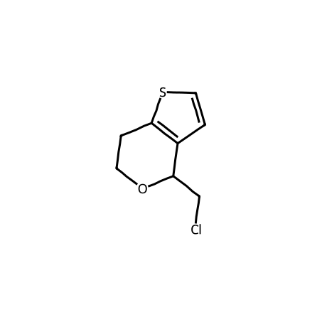 ClCC1OCCc2sccc21